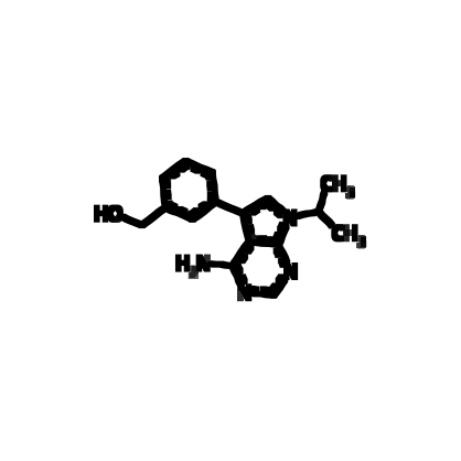 CC(C)n1cc(-c2cccc(CO)c2)c2c(N)ncnc21